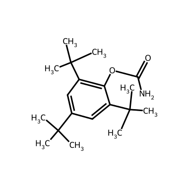 CC(C)(C)c1cc(C(C)(C)C)c(OC(N)=O)c(C(C)(C)C)c1